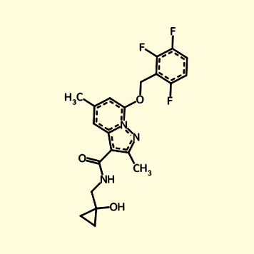 Cc1cc(OCc2c(F)ccc(F)c2F)n2nc(C)c(C(=O)NCC3(O)CC3)c2c1